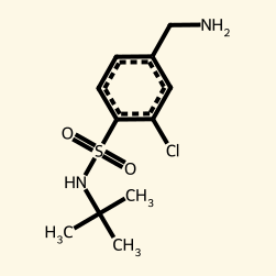 CC(C)(C)NS(=O)(=O)c1ccc(CN)cc1Cl